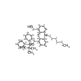 CCCCCCN1c2cccc(CO)c2Sc2c(CO[Si](c3ccccc3)(c3ccccc3)C(C)(C)C)cccc21